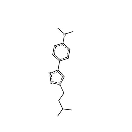 CC(C)CCn1cc(-c2ccc(N(C)C)cc2)nn1